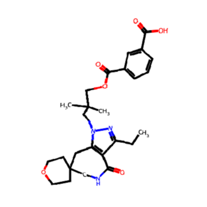 CCc1nn(CC(C)(C)COC(=O)c2cccc(C(=O)O)c2)c2c1C(=O)NCC1(CCOCC1)C2